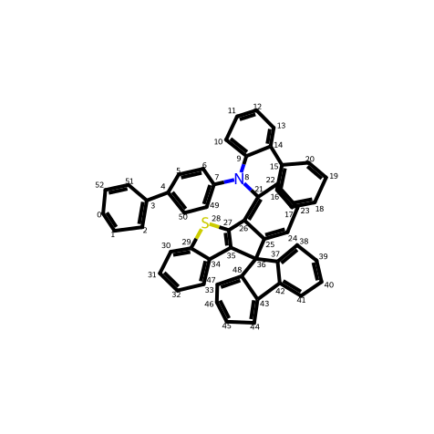 c1ccc(-c2ccc(N(c3ccccc3-c3ccccc3)c3cccc4c3-c3sc5ccccc5c3C43c4ccccc4-c4ccccc43)cc2)cc1